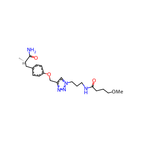 COCCCC(=O)NCCCn1cc(COc2ccc(C[C@H](C)C(N)=O)cc2)nn1